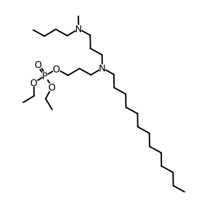 CCCCCCCCCCCCCN(CCCOP(=O)(OCC)OCC)CCCN(C)CCCC